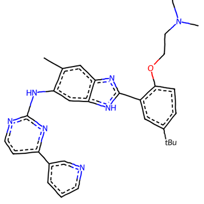 Cc1cc2nc(-c3cc(C(C)(C)C)ccc3OCCN(C)C)[nH]c2cc1Nc1nccc(-c2cccnc2)n1